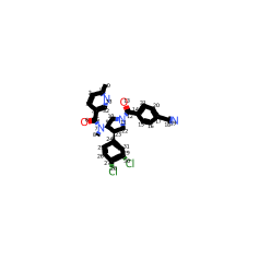 Cc1ccc(C(=O)N(C)[C@@H]2CN(C(=O)c3ccc(C#N)cc3)C[C@H]2c2ccc(Cl)c(Cl)c2)cn1